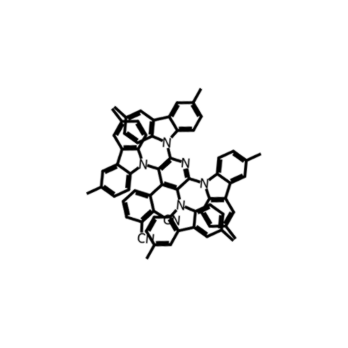 Cc1ccc2c(c1)c1cc(C)ccc1n2-c1nc(-n2c3ccc(C)cc3c3cc(C)ccc32)c(-n2c3ccc(C)cc3c3cc(C)ccc32)c(-c2cccc(C#N)c2C#N)c1-n1c2ccc(C)cc2c2cc(C)ccc21